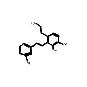 NCCc1ccc(O)c(O)c1CCc1cccc(S)c1